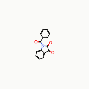 O=C1C(=O)N(C(=O)c2ccccc2)c2ccccc21